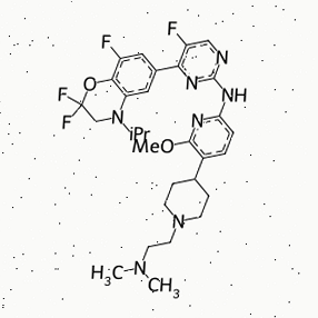 COc1nc(Nc2ncc(F)c(-c3cc(F)c4c(c3)N(C(C)C)CC(F)(F)O4)n2)ccc1C1CCN(CCN(C)C)CC1